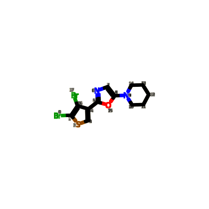 Brc1scc(-c2ncc(N3CCCCC3)o2)c1Br